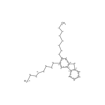 CCCCCCCCc1[c]c2c(cc1CCCCCCCC)-c1ccccc1C2